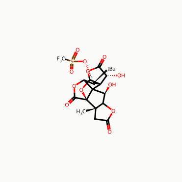 CC(C)(C)[C@@H]1[C@@H](OS(=O)(=O)C(F)(F)F)C2OC(=O)[C@]34OC5OC(=O)[C@H](O)C51C23[C@@H](O)C1OC(=O)C[C@@]14C